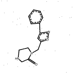 O=C1CNCCN1Cc1cc(-c2ccccc2)no1